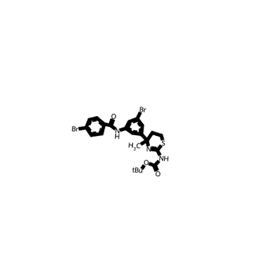 CC(C)(C)OC(=O)NC1=NC(C)(c2cc(Br)cc(NC(=O)c3ccc(Br)cc3)c2)CCS1